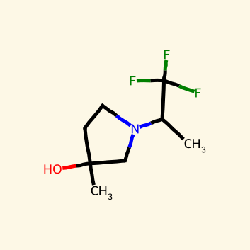 CC(N1CCC(C)(O)C1)C(F)(F)F